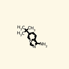 CC(C)(C)c1ccc2c(N)ncn2c1